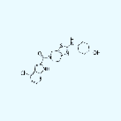 O=C(c1cc2c(Cl)cccc2[nH]1)N1CCc2nc(N[C@H]3CC[C@@H](O)CC3)sc2C1